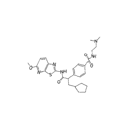 COc1ccc2nc(NC(=O)C(CC3CCCC3)c3ccc(S(=O)(=O)NCCN(C)C)cc3)sc2n1